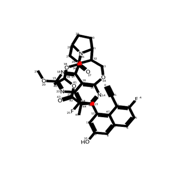 C#Cc1c(F)ccc2cc(O)cc(-c3nc4c5c(nc(OC)nc5c3F)N3CC5CCC(C3CO4)N5C(=O)OC(C)OC(=O)C(C)C)c12